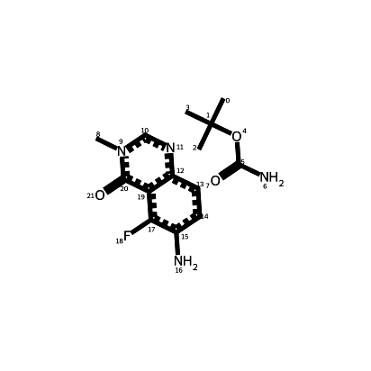 CC(C)(C)OC(N)=O.Cn1cnc2ccc(N)c(F)c2c1=O